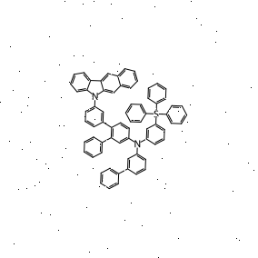 c1ccc(-c2cccc(N(c3cccc(S(c4ccccc4)(c4ccccc4)c4ccccc4)c3)c3ccc(-c4cccc(-n5c6ccccc6c6cc7ccccc7cc65)c4)c(-c4ccccc4)c3)c2)cc1